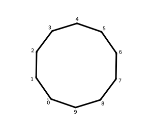 [CH]1CCCCCCCCC1